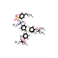 CCc1ccc(S(=O)(=O)[O-])cc1.CN(C)c1ccc([S+](c2ccc(OC(C)(C)C)cc2)c2ccc(OC(C)(C)C)cc2)cc1